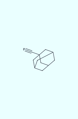 P#CC12CC3CC(CC(C3)C1)C2